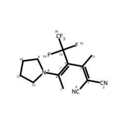 CC(=C(C#N)C#N)/C(=C(\C)N1CCCC1)C(F)(F)C(F)(F)F